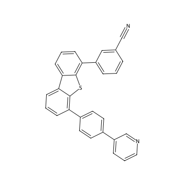 N#Cc1cccc(-c2cccc3c2sc2c(-c4ccc(-c5cccnc5)cc4)cccc23)c1